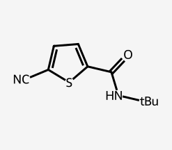 CC(C)(C)NC(=O)c1ccc(C#N)s1